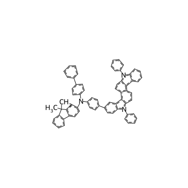 CC1(C)c2ccccc2-c2ccc(N(c3ccc(-c4ccccc4)cc3)c3ccc(-c4ccc5c(c4)c4c6ccc7c(c6ccc4n5-c4ccccc4)c4ccccc4n7-c4ccccc4)cc3)cc21